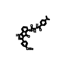 COc1ccc(-c2n[nH]c3c2C(=O)c2c(NC(=O)NNC(=O)c4ccc(N(C)C)cc4)cccc2-3)cc1